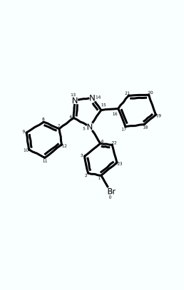 Brc1ccc(-n2c(-c3ccccc3)nnc2-c2ccccc2)cc1